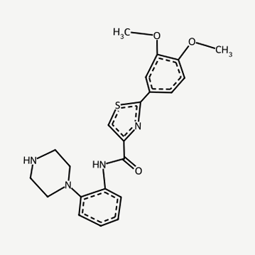 COc1ccc(-c2nc(C(=O)Nc3ccccc3N3CCNCC3)cs2)cc1OC